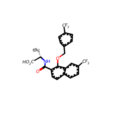 CC(C)(C)[C@H](NC(=O)c1ccc2ccc(C(F)(F)F)cc2c1OCc1ccc(C(F)(F)F)cc1)C(=O)O